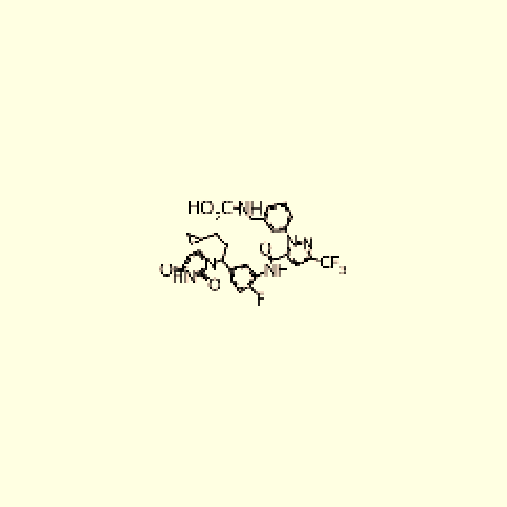 O=C(O)NCc1cccc(-n2nc(C(F)(F)F)cc2C(=O)Nc2cc(C(CCC3CC3)n3ccc(=O)[nH]c3=O)ccc2F)c1